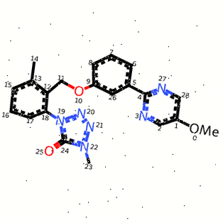 COc1cnc(-c2cccc(OCc3c(C)cccc3-n3nnn(C)c3=O)c2)nc1